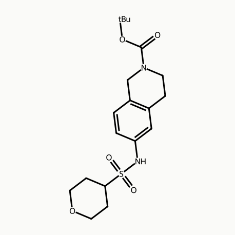 CC(C)(C)OC(=O)N1CCc2cc(NS(=O)(=O)C3CCOCC3)ccc2C1